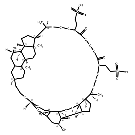 C[C@@H]1CCCN(CCS(=O)(=O)O)C(=O)CCCC(=O)N(CCS(=O)(=O)O)CCC[C@H](C)[C@H]2CC[C@H]3[C@@H]4[C@@H](O)CC5C[C@H](CCC[C@@H]6CC[C@@]7(C)C(C6)C[C@H](O)[C@H]6[C@@H]8CC[C@H]1[C@@]8(C)CC[C@@H]67)CC[C@]5(C)[C@H]4CC[C@]23C